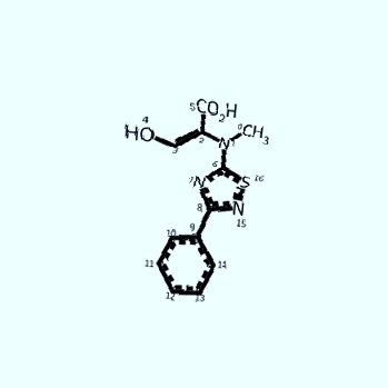 CN(C(=CO)C(=O)O)c1nc(-c2ccccc2)ns1